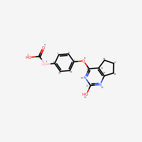 O=C(O)Bc1ccc(Oc2nc(O)nc3c2CCC3)cc1